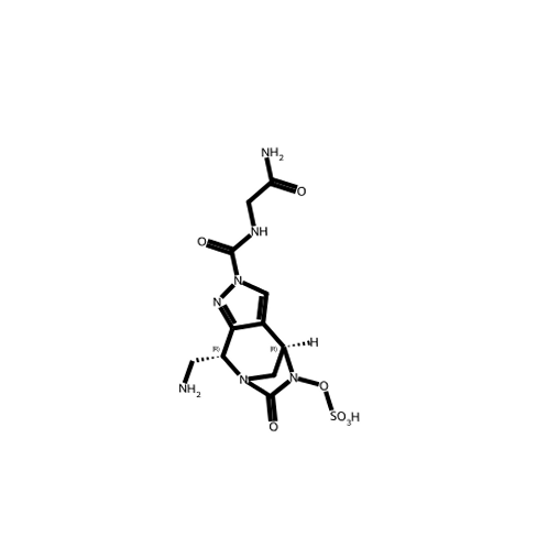 NC[C@@H]1c2nn(C(=O)NCC(N)=O)cc2[C@@H]2CN1C(=O)N2OS(=O)(=O)O